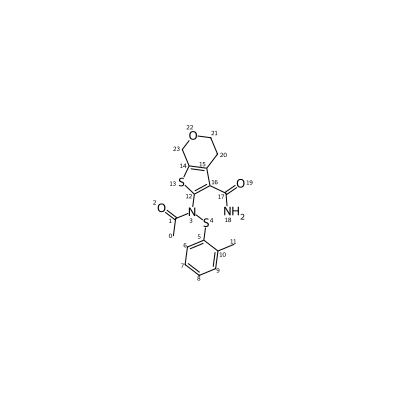 CC(=O)N(Sc1ccccc1C)c1sc2c(c1C(N)=O)CCOC2